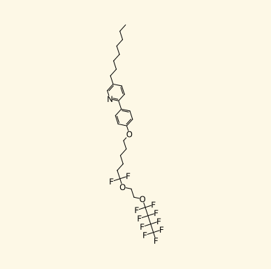 CCCCCCCCc1ccc(-c2ccc(OCCCCCC(F)(F)OCCOC(F)(F)C(F)(F)C(F)(F)C(F)(F)F)cc2)nc1